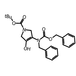 CC(C)(C)OC(=O)N1CC(O)=C(N(Cc2ccccc2)C(=O)OCc2ccccc2)C1